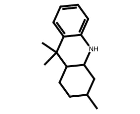 CC1CCC2C(C1)Nc1ccccc1C2(C)C